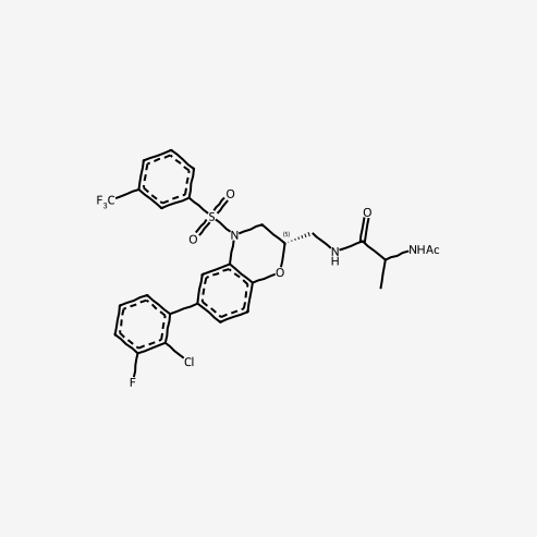 CC(=O)NC(C)C(=O)NC[C@H]1CN(S(=O)(=O)c2cccc(C(F)(F)F)c2)c2cc(-c3cccc(F)c3Cl)ccc2O1